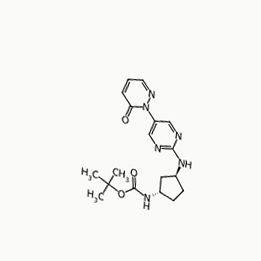 CC(C)(C)OC(=O)N[C@H]1CC[C@H](Nc2ncc(-n3ncccc3=O)cn2)C1